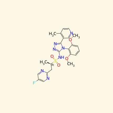 COc1cccc(OC)c1-n1c(NS(=O)(=O)[C@H](C)Cc2ncc(F)cn2)nnc1-c1cnccc1C